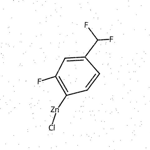 Fc1cc(C(F)F)cc[c]1[Zn][Cl]